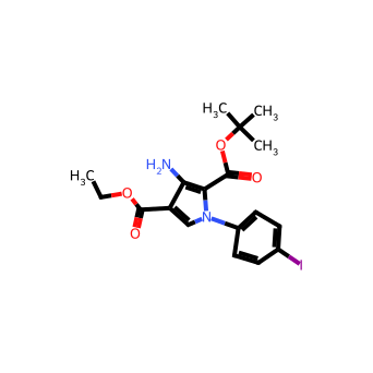 CCOC(=O)c1cn(-c2ccc(I)cc2)c(C(=O)OC(C)(C)C)c1N